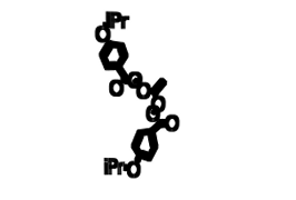 C=C(OOC(=O)c1ccc(OC(C)C)cc1)OOC(=O)c1ccc(OC(C)C)cc1